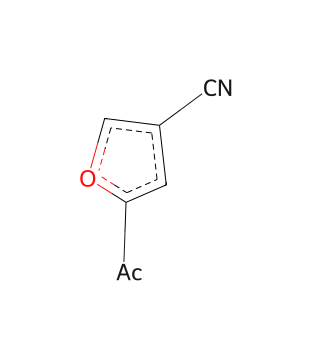 CC(=O)c1cc(C#N)co1